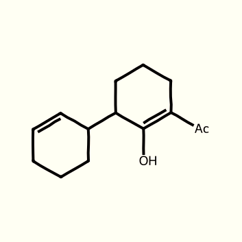 CC(=O)C1=C(O)C(C2C=CCCC2)CCC1